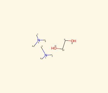 CN(C)C.CN(C)C.OCCO